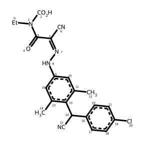 CCN(C(=O)O)C(=O)C(C#N)=NNc1cc(C)c(C(C#N)c2ccc(Cl)cc2)c(C)c1